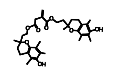 C=C(CC(=O)OCCC1(C)CCc2c(C)c(O)c(C)c(C)c2O1)C(=O)OCCC1(C)CCc2c(C)c(O)c(C)c(C)c2O1